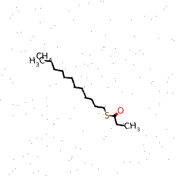 C.CCCCCCCCCCCCSC(=O)CC